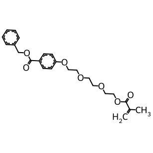 C=C(C)C(=O)OCCOCCOCCOc1ccc(C(=O)OCc2ccccc2)cc1